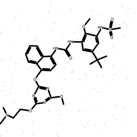 COc1nc(OCCN(C)C)nc(Oc2ccc(NC(=O)Nc3cc(C(C)(C)C)cc(NS(C)(=O)=O)c3OC)c3ccccc23)n1